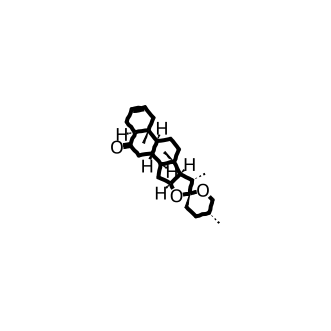 C[C@@H]1CC[C@@]2(OC1)O[C@H]1C[C@H]3[C@@H]4CC(=O)[C@H]5CC=CC[C@]5(C)[C@H]4CC[C@]3(C)[C@H]1[C@@H]2C